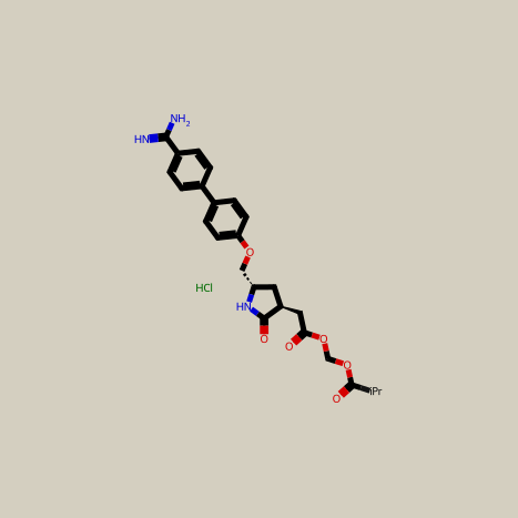 CC(C)C(=O)OCOC(=O)C[C@@H]1C[C@@H](COc2ccc(-c3ccc(C(=N)N)cc3)cc2)NC1=O.Cl